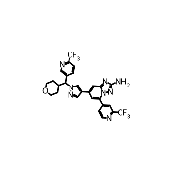 Nc1nc2cc(-c3cnn(C(c4ccc(C(F)(F)F)nc4)C4CCOCC4)c3)cc(-c3ccnc(C(F)(F)F)c3)n2n1